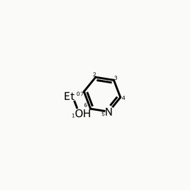 CCO.c1ccncc1